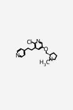 CN1CCC[C@@H]1COc1cnc(Cl)c(CCc2ccncc2)c1